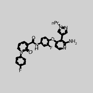 CCCn1cc(-c2c(Oc3ccc(NC(=O)c4cccn(-c5ccc(F)cc5)c4=O)cc3F)ccnc2N)cn1